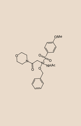 COc1ccc(S(=O)(=O)[N+](CC(=O)N2CCOCC2)(NC(C)=O)OCc2ccccc2)cc1